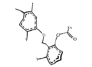 CCC(=O)Oc1cccc(I)c1COc1cc(C)c(C)cc1F